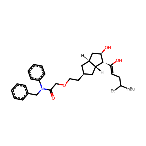 CCCCC(CC)CC=C(O)[C@@H]1[C@@H]2C[C@@H](CCOCC(=O)N(Cc3ccccc3)c3ccccc3)C[C@H]2C[C@H]1O